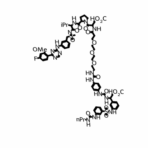 CCCNC(=O)Nc1cccc(S(=O)(=O)Nc2cccc(C(CC(=O)O)NC(=O)Nc3ccc(NC(=O)NCCOCCOCCOCCC(=O)NC(CC(=O)O)C(=O)N4CCCC4C(=O)NC(C(=O)N=S(C)(=O)Cc4cccc(Nc5ncnc(-c6ccc(F)cc6OC)n5)c4)C(C)C)cc3)c2)c1